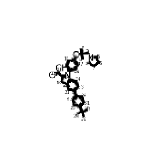 CC(C)(CN1CCCC1)Oc1ccc(-n2c(C(=O)O)cc3cc(-c4ccc(C(C)(C)C)cc4)ccc32)cc1